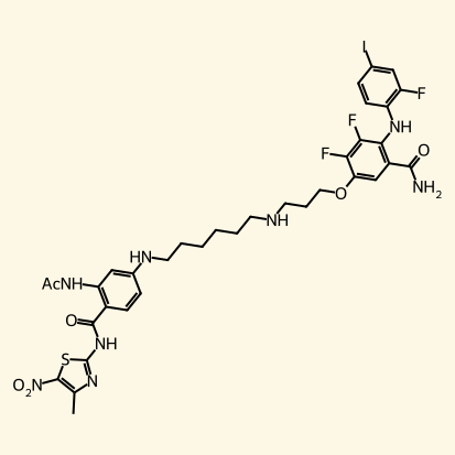 CC(=O)Nc1cc(NCCCCCCNCCCOc2cc(C(N)=O)c(Nc3ccc(I)cc3F)c(F)c2F)ccc1C(=O)Nc1nc(C)c([N+](=O)[O-])s1